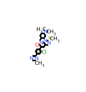 CSc1ncc2cc(-c3ccc(-c4cncc(C)n4)cc3Cl)c(=O)n(CC3CCC(N(C)C)CC3)c2n1